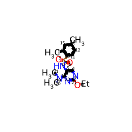 CCOc1ncc(NS(=O)(=O)c2ccc(C)cc2C)c(N(C)C)n1